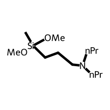 CCCN(CCC)CCC[Si](C)(OC)OC